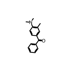 Cc1cc(C(=O)c2ccccc2)ccc1N(C)C